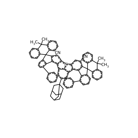 CC1(C)c2ccccc2C2(c3ccccc31)c1cccc(-c3ccccc3)c1-c1c2c(C#N)cc2c1c1cc(C34CC5CC(CC(C5)C3)C4)cc3c4c5c(c(C#N)cc4n2c13)C1(c2ccccc2C(C)(C)c2ccccc21)c1cccc(-c2ccccc2)c1-5